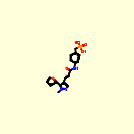 Cn1ncc(/C=C/C(=O)Nc2ccc(CP(=O)(O)O)cc2)c1-c1ccco1